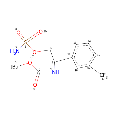 CC(C)(C)OC(=O)NC(COS(N)(=O)=O)c1cccc(C(F)(F)F)c1